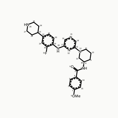 COc1ccc(C(=O)N[C@@H]2CCCN(c3cncc(Nc4ccc(C5CCNCC5)cc4F)n3)C2)cc1